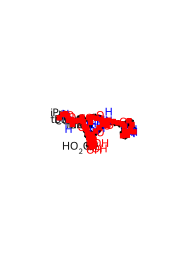 CN[C@H](C(=O)N[C@H](C(=O)N(C)[C@H](/C=C(\C)C(=O)O)C(C)C)C(C)(C)C)C(C)(C)c1cccc(NC(=O)OCc2ccc(O[C@@H]3O[C@H](C(=O)O)[C@@H](O)[C@H](O)[C@H]3O)c(CNC(=O)CCNC(=O)[C@H](CNC(=O)CCC(C)(C)OCCC(C)(C)OC)NC(=O)CCCCC(=O)N3Cc4ccccc4-c4nnn(C)c4-c4ccccc43)c2)c1